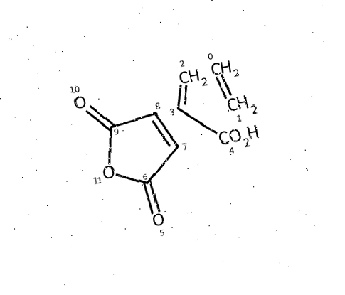 C=C.C=CC(=O)O.O=C1C=CC(=O)O1